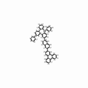 c1ccc(-c2ccc3c(c2)-c2cc(-c4ccc5cc(-c6ccc7c8ccccc8c8ccccc8c7c6)ccc5c4)ccc2N(c2ccccc2)c2ccccc2-3)cc1